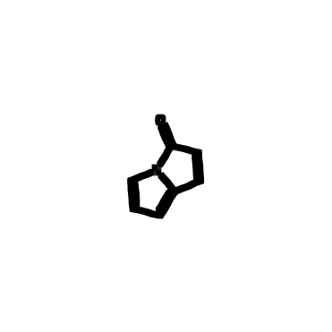 O=C1C=Cc2cccn21